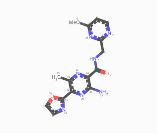 COc1ccnc(CNC(=O)c2nc(C)c(-c3ncco3)nc2N)n1